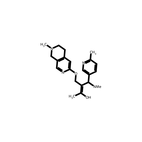 CNC(/C(COc1cc2c(cn1)CN(C)CC2)=C(/C)O)c1ccc(C)nc1